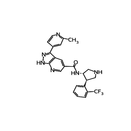 Cc1cc(-c2n[nH]c3ncc(C(=O)N[C@@H]4CNC[C@H]4c4ccccc4C(F)(F)F)cc23)ccn1